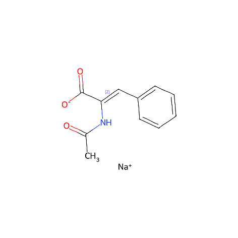 CC(=O)N/C(=C\c1ccccc1)C(=O)[O-].[Na+]